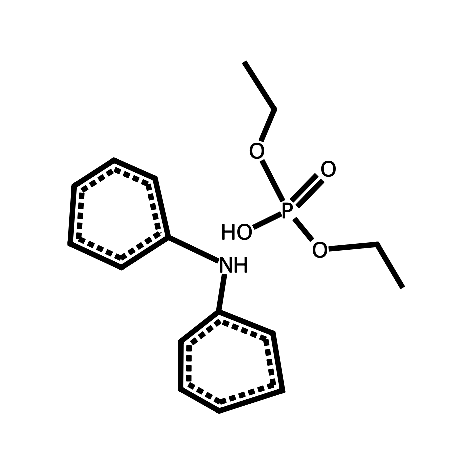 CCOP(=O)(O)OCC.c1ccc(Nc2ccccc2)cc1